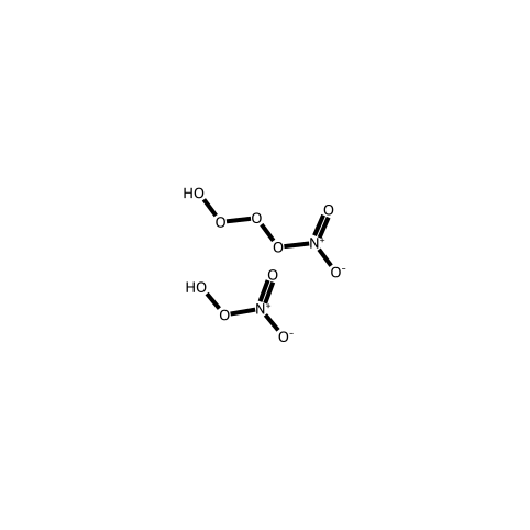 O=[N+]([O-])OO.O=[N+]([O-])OOOO